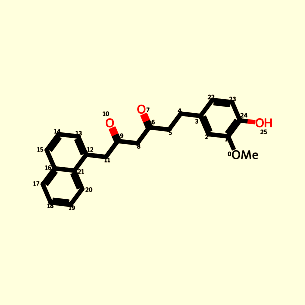 COc1cc(CCC(=O)CC(=O)Cc2cccc3ccccc23)ccc1O